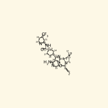 CC#CC(=O)N1CC2C([C@H]1c1nc(-c3ccc(C(=O)Nc4cc(C(F)(F)F)ccn4)cc3)c3c(N)nccn13)C2(C)C